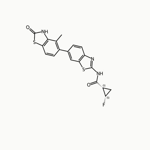 Cc1c(-c2ccc3nc(NC(=O)[C@@H]4C[C@@H]4F)sc3c2)ccc2sc(=O)[nH]c12